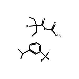 CC(C)c1cccc(C(F)(F)F)c1.CCC(Br)(CC)C(=O)NC(N)=O